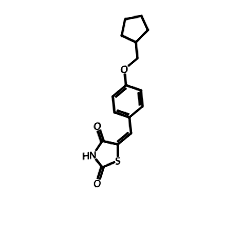 O=C1NC(=O)/C(=C\c2ccc(OCC3CCCC3)cc2)S1